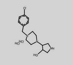 Cl.Cl.OC1CNCC1N1CCN(Cc2ccc(Cl)cc2)CC1